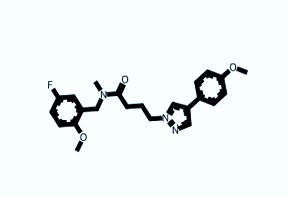 COc1ccc(-c2cnn(CCCC(=O)N(C)Cc3cc(F)ccc3OC)c2)cc1